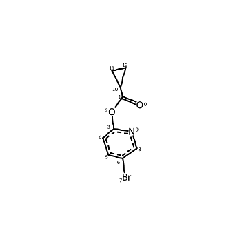 O=C(Oc1ccc(Br)cn1)C1CC1